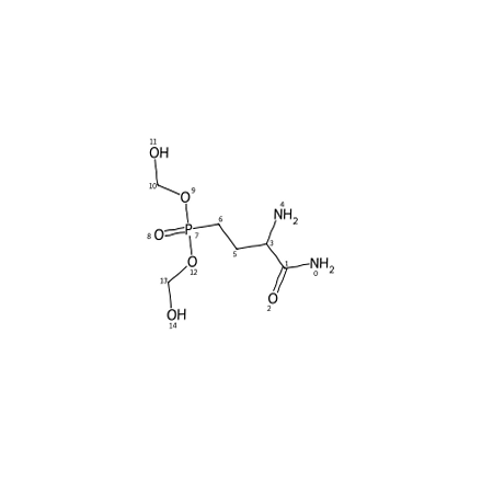 NC(=O)C(N)CCP(=O)(OCO)OCO